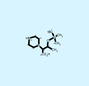 CC(O[Si](C)(C)C(C)(C)C)C(C(=O)O)N1CCNCC1